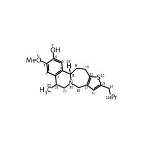 COc1cc2c(cc1O)[C@@H]1CCc3sc(CC(C)C)cc3CN1CC2C